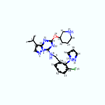 CC(C)c1cnn2c(NCc3cccc(F)c3-n3cccn3)nc(OC3CCCNC3)nc12